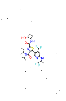 CCC1CCC(C)N1C(=O)c1nc(C(=O)N[C@@H]2CC[C@H]2O)sc1-c1cnc(N[C@@H](C)C(F)(F)F)cc1C(F)F